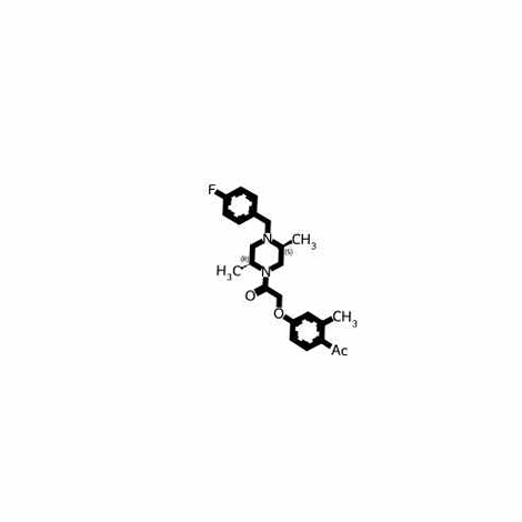 CC(=O)c1ccc(OCC(=O)N2C[C@H](C)N(Cc3ccc(F)cc3)C[C@H]2C)cc1C